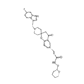 O=C(C=Cc1ccc2c(c1)C(=O)CC1(CCN(Cc3c[nH]c4cc(F)ccc34)CC1)O2)NOC1CCCCO1